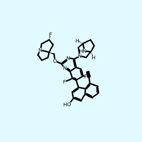 C#Cc1cccc2cc(O)cc(-c3c(F)cc4c(N5C[C@H]6CC[C@@H](C5)N6)nc(OC[C@@]56CCCN5C[C@H](F)C6)nc4c3F)c12